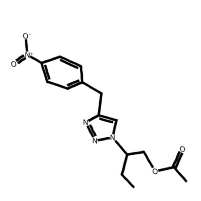 CCC(COC(C)=O)n1cc(Cc2ccc([N+](=O)[O-])cc2)nn1